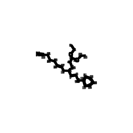 CCOC(CSC(C=CSc1ccccc1)CC=CCCCC#N)OCC